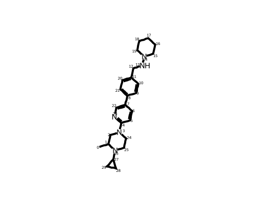 CC1CN(c2ccc(-c3ccc(CNN4CCCCC4)cc3)cn2)CCN1C1CC1